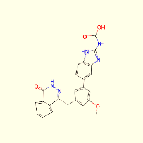 COc1cc(Cc2n[nH]c(=O)c3ccccc23)cc(-c2ccc3[nH]c(N(C)C(=O)O)nc3c2)c1